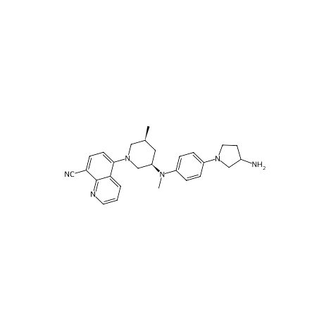 C[C@H]1C[C@@H](N(C)c2ccc(N3CCC(N)C3)cc2)CN(c2ccc(C#N)c3ncccc23)C1